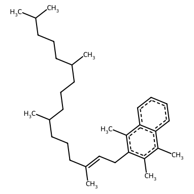 C/C(=C\Cc1c(C)c(C)c2ccccc2c1C)CCCC(C)CCCC(C)CCCC(C)C